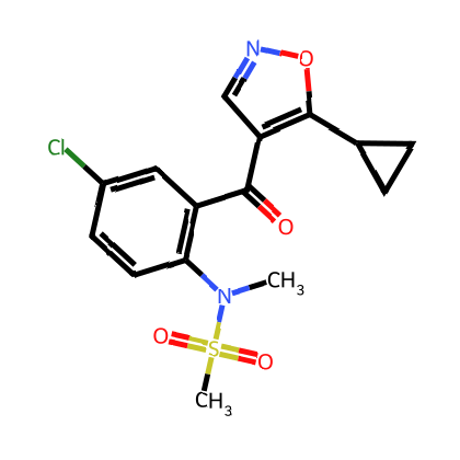 CN(c1ccc(Cl)cc1C(=O)c1cnoc1C1CC1)S(C)(=O)=O